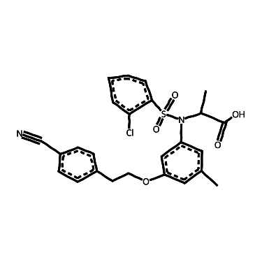 Cc1cc(OCCc2ccc(C#N)cc2)cc(N(C(C)C(=O)O)S(=O)(=O)c2ccccc2Cl)c1